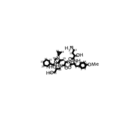 COc1ccc(CC(NC(=O)[C@H](O)CCN)C(=O)N[C@@H](CC2=CN(CC3CCCCC3)CN2C2CC2)C(=O)NC[C@H](O)CO)cc1